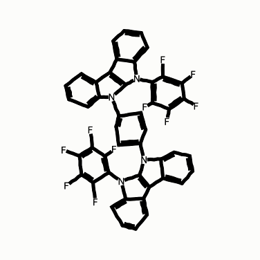 Fc1c(F)c(F)c(-n2c3ccccc3c3c4ccccc4n(-c4ccc(-n5c6ccccc6c6c7ccccc7n(-c7c(F)c(F)c(F)c(F)c7F)c65)cc4)c32)c(F)c1F